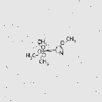 CCOc1cncc(C#CC(OCC)(OCC)OCC)c1